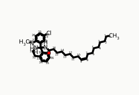 CCCCCCCC/C=C\CCCCCCCC(=O)NC1(c2cc(Cl)ccc2NC)NCCc2ccccc21